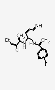 C=C(NC(/C=C\C=N)CNC(=C)c1ccc(F)cc1)/C(Cl)=C\CC